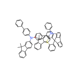 CC1(C)c2ccccc2-c2ccc(N(c3ccc(-c4ccccc4)cc3)c3ccc(-c4cccc5c4Sc4ccccc4C54c5ccccc5-c5cccc(N(c6ccccc6)c6ccc7c(c6)C(C)(C)c6ccccc6-7)c54)cc3)cc21